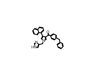 O=C(c1ccc(Cc2ccccc2)cc1)c1cn(Cc2c[nH]cn2)cc1-c1cccc2ccccc12